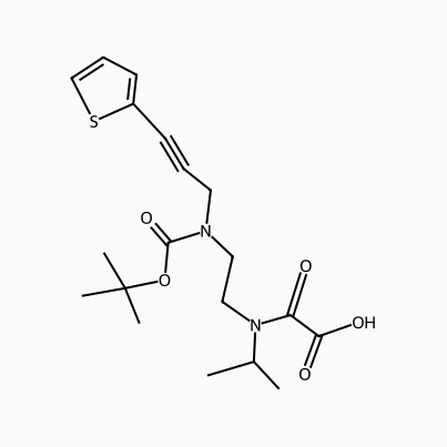 CC(C)N(CCN(CC#Cc1cccs1)C(=O)OC(C)(C)C)C(=O)C(=O)O